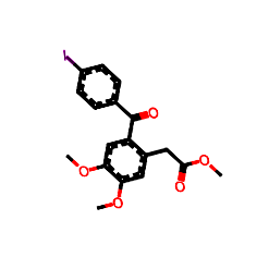 COC(=O)Cc1cc(OC)c(OC)cc1C(=O)c1ccc(I)cc1